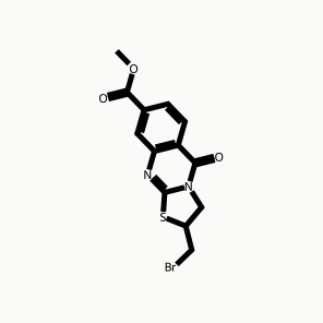 COC(=O)c1ccc2c(=O)n3c(nc2c1)SC(CBr)C3